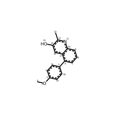 COc1ccc(-c2cccc3nc(C)c(O)cc23)cc1